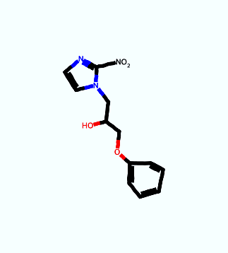 O=[N+]([O-])c1nccn1CC(O)COc1ccccc1